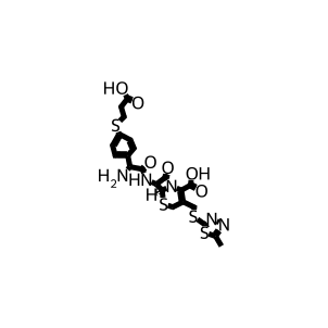 Cc1nnc(SCC2=C(C(=O)O)N3C(=O)C(NC(=O)C(N)c4ccc(SCCC(=O)O)cc4)[C@@H]3SC2)s1